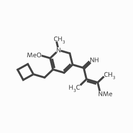 CN/C(C)=C(\C)C(=N)C1=CC(CC2CCC2)=C(OC)N(C)C1